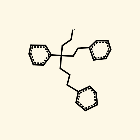 [CH2]CCC(CCCc1ccccc1)(CCc1ccccc1)c1ccccc1